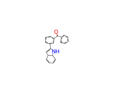 O=C(c1ccccc1)c1cccc(C2=CC3C=CC=CC3N2)c1